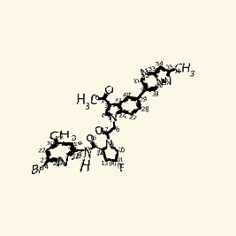 CC(=O)c1cn(CC(=O)N2C[C@H](F)C[C@H]2C(=O)Nc2cc(C)cc(Br)n2)c2ccc(-c3cnc4cc(C)nn4c3)cc12